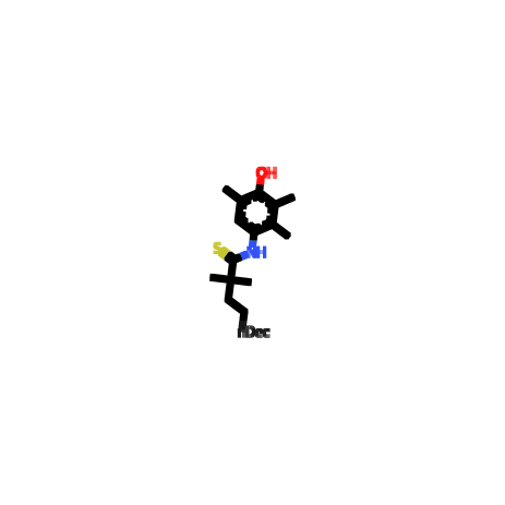 CCCCCCCCCCCCC(C)(C)C(=S)Nc1cc(C)c(O)c(C)c1C